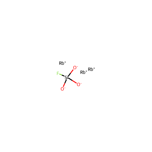 [O-][Si]([O-])([O-])F.[Rb+].[Rb+].[Rb+]